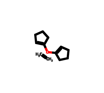 C1=C(OC2=CCCC2)CCC1.C=C